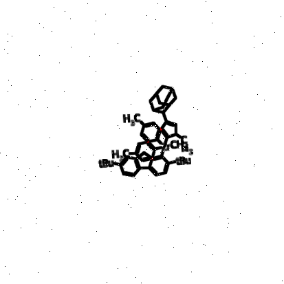 [CH2]=[Zr]([C]1=CC(C2C3CC4CC(C3)CC2C4)=CC1C)([c]1ccc(C)cc1)([c]1ccc(C)cc1)[c]1c(C(C)(C)C)ccc2c1Cc1cc(C(C)(C)C)ccc1-2